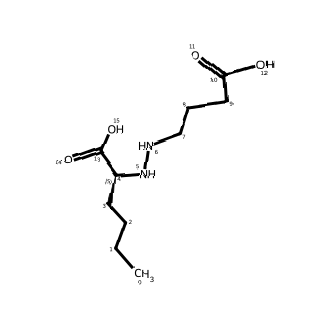 CCCC[C@H](NNCCCC(=O)O)C(=O)O